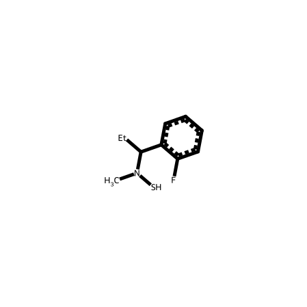 CCC(c1ccccc1F)N(C)S